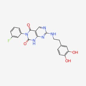 O=c1[nH]c2nc(NCCc3ccc(O)c(O)c3)ncc2c(=O)n1-c1cccc(F)c1